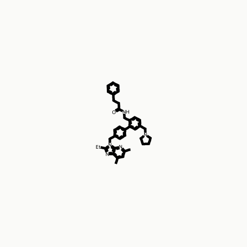 CCc1nc2c(C)cc(C)nc2n1Cc1ccc(-c2cc(CN3CCCC3)ccc2CNC(=O)CCc2ccccc2)cc1